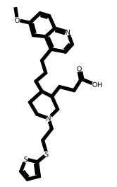 COc1ccc2nccc(CCCC3CCN(CCSc4cccs4)CC3CCC(=O)O)c2c1